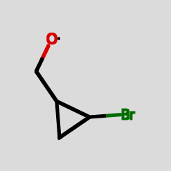 [O]CC1CC1Br